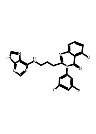 O=c1c2c(Cl)cccc2nc(CCCNc2ncnc3[nH]cnc23)n1-c1cc(F)cc(F)c1